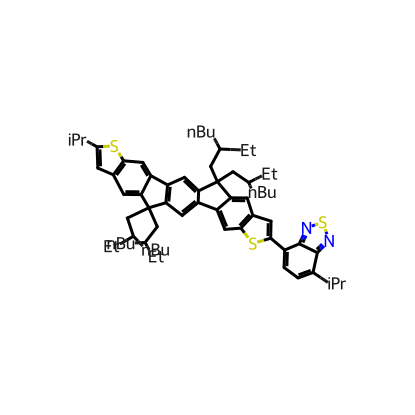 CCCCC(CC)CC1(CC(CC)CCCC)c2cc3c(cc2-c2cc4sc(-c5ccc(C(C)C)c6nsnc56)cc4cc21)C(CC(CC)CCCC)(CC(CC)CCCC)c1cc2cc(C(C)C)sc2cc1-3